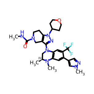 CNC(=O)N1CCc2c(c(N3C[C@H](C)N(C)c4cc(-c5cnn(C)c5)c(C(F)(F)F)cc43)nn2C2CCOCC2)C1